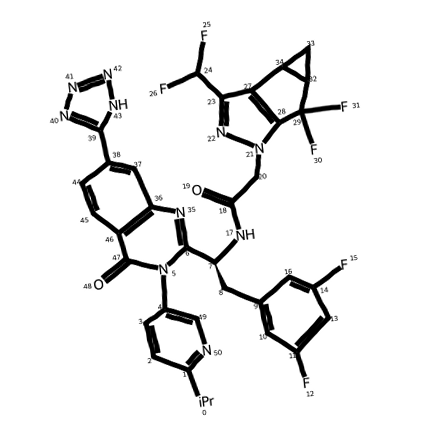 CC(C)c1ccc(-n2c([C@H](Cc3cc(F)cc(F)c3)NC(=O)Cn3nc(C(F)F)c4c3C(F)(F)C3CC43)nc3cc(-c4nnn[nH]4)ccc3c2=O)cn1